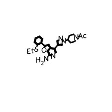 CCSc1ccccc1-c1cc2c(-c3cnn(C4CCN(C(C)=O)CC4)c3)cnc(N)c2o1